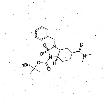 CCCCC(C)(C)OC(=O)N1[C@H]2CC[C@H](C(=O)N(C)C)CC2N(Cc2ccccc2)S1(=O)=O